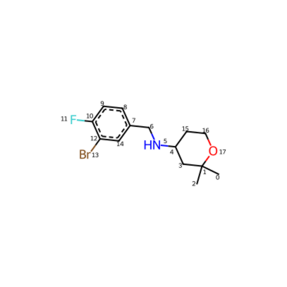 CC1(C)CC(NCc2ccc(F)c(Br)c2)CCO1